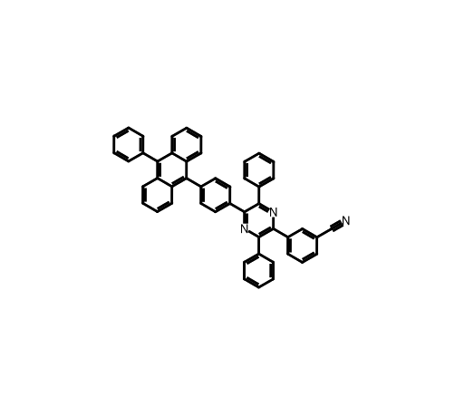 N#Cc1cccc(-c2nc(-c3ccccc3)c(-c3ccc(-c4c5ccccc5c(-c5ccccc5)c5ccccc45)cc3)nc2-c2ccccc2)c1